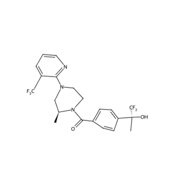 C[C@H]1CN(c2ncccc2C(F)(F)F)CCN1C(=O)c1ccc([C@](C)(O)C(F)(F)F)cc1